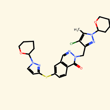 Cc1c(Cl)c(Cn2ncc3cc(Sc4ccn(C5CCCCO5)n4)ccc3c2=O)nn1C1CCCCO1